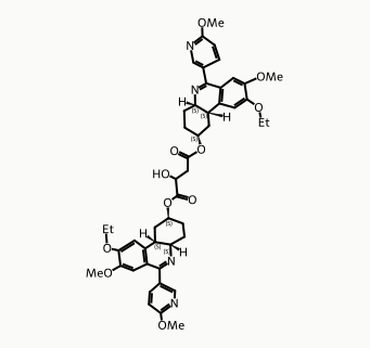 CCOc1cc2c(cc1OC)C(c1ccc(OC)nc1)=N[C@H]1CC[C@H](OC(=O)CC(O)C(=O)O[C@H]3CC[C@@H]4N=C(c5ccc(OC)nc5)c5cc(OC)c(OCC)cc5[C@@H]4C3)C[C@@H]21